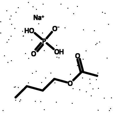 CCCCOC(C)=O.O=P([O-])(O)O.[Na+]